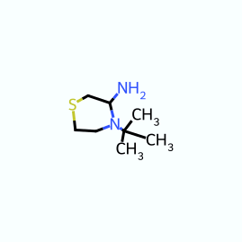 CC(C)(C)N1CCSCC1N